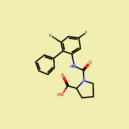 O=C(O)C1CCCN1C(=O)Nc1cc(F)cc(F)c1-c1ccccc1